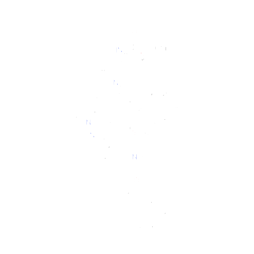 Cn1nc(-c2ccc(OCc3ccccc3)nc2OCc2ccccc2)c2ccc(N3CC(NC(=O)OC(C)(C)C)C3)cc21